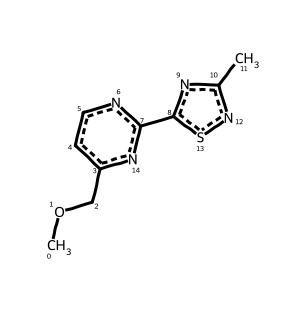 COCc1ccnc(-c2nc(C)ns2)n1